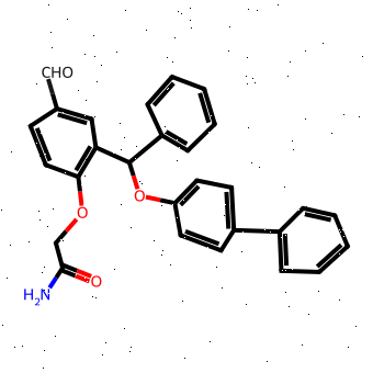 NC(=O)COc1ccc(C=O)cc1C(Oc1ccc(-c2ccccc2)cc1)c1ccccc1